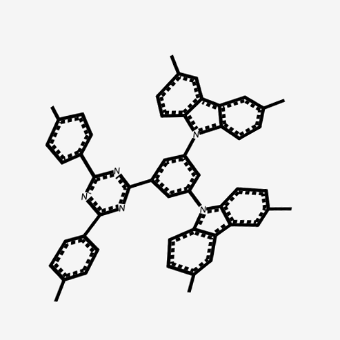 Cc1ccc(-c2nc(-c3ccc(C)cc3)nc(-c3cc(-n4c5ccc(C)cc5c5cc(C)ccc54)cc(-n4c5ccc(C)cc5c5cc(C)ccc54)c3)n2)cc1